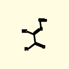 CO/N=C(\C#N)C(=O)C(C)C